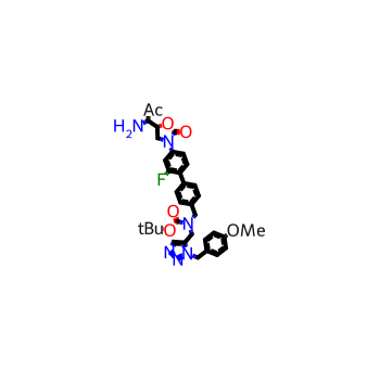 COc1ccc(Cn2nncc2CN(Cc2ccc(-c3ccc(N4CC(C(N)C(C)=O)OC4=O)cc3F)cc2)C(=O)OC(C)(C)C)cc1